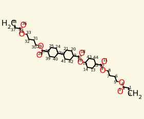 C=CC(=O)OCCCCOC(=O)C1CCC(OC(=O)C2CCC(C3CCC(C(=O)OCCCCOC(=O)C=C)CC3)CC2)CC1